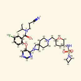 CC(C)N(CCC#N)C(=O)c1cc(F)ccc1Oc1cncnc1N1CC2(CCN(C[C@@H]3CC[C@@H](NS(=O)(=O)N4CCC4)CO3)CC2)C1